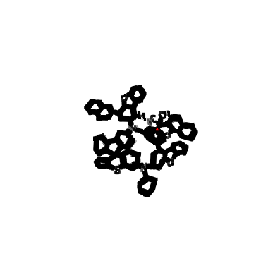 CC1(C)c2cc(N(c3cc(-c4ccc5ccccc5c4)c4oc5ccccc5c4c3)C3C=CC4=C(C3)c3ccccc3C43c4ccccc4Sc4cc(N(c5ccccc5)c5cc(-c6ccccc6)c6c(c5)oc5ccccc56)ccc43)ccc2Oc2c1ccc1ccccc21